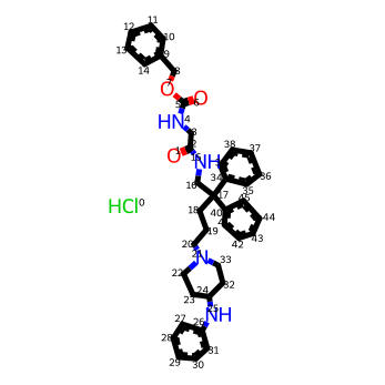 Cl.O=C(CNC(=O)OCc1ccccc1)NCC(CCCN1CCC(Nc2ccccc2)CC1)(c1ccccc1)c1ccccc1